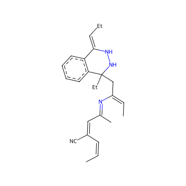 C\C=C/C(C#N)=C\C(C)=N\C(=C/C)CC1(CC)NN/C(=C\CC)c2ccccc21